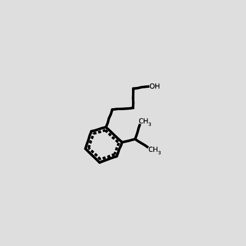 CC(C)c1ccccc1CCCO